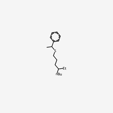 CCCCC(CC)CCCSC(C)c1ccccc1